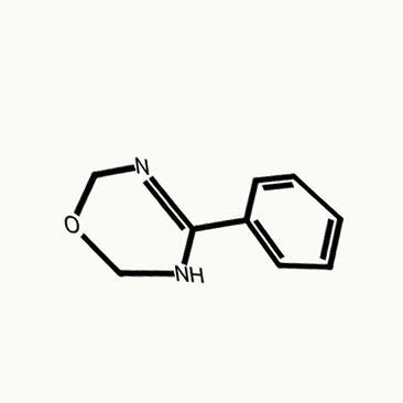 c1ccc(C2=NCOCN2)cc1